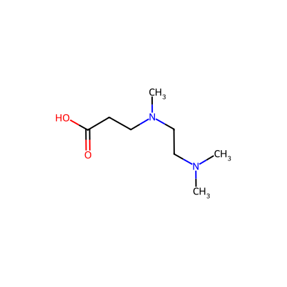 CN(C)CCN(C)CCC(=O)O